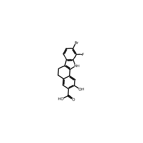 O=C(O)c1cc2c(cc1O)-c1[nH]c3c(F)c(Br)ccc3c1CC2